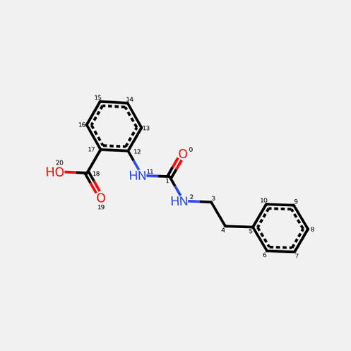 O=C(NCCc1ccccc1)Nc1ccccc1C(=O)O